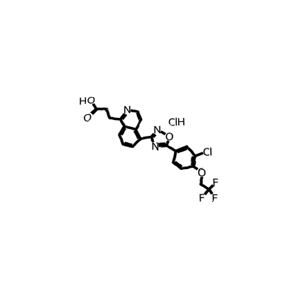 Cl.O=C(O)CCc1nccc2c(-c3noc(-c4ccc(OCC(F)(F)F)c(Cl)c4)n3)cccc12